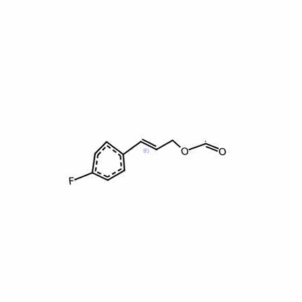 O=[C]OC/C=C/c1ccc(F)cc1